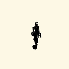 O=C(NCC1CCN(C/C=C/c2ccccc2)CC1)c1cn(-c2ccc(F)cc2F)nn1